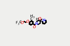 Cc1cc(C(=O)N2CC[C@@]3(c4ccccn4)CO[C@H]3C2)ccc1OCCOC(F)(F)F